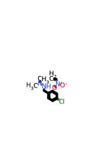 C=C[N+](=O)[O-].CN(C)NCc1ccc(Cl)cc1